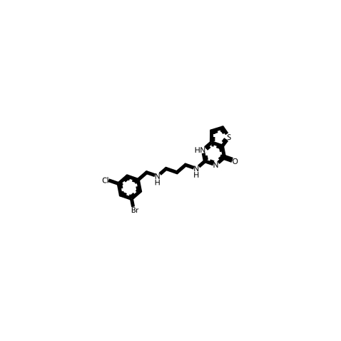 O=c1nc(NCCCNCc2cc(Cl)cc(Br)c2)[nH]c2ccsc12